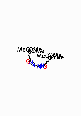 COc1cc(C=CC=CC(=O)N2CCN(CCCN3CCN(C(=O)C=CC=Cc4cc(OC)c(OC)c(OC)c4)CC3)CC2)cc(OC)c1OC